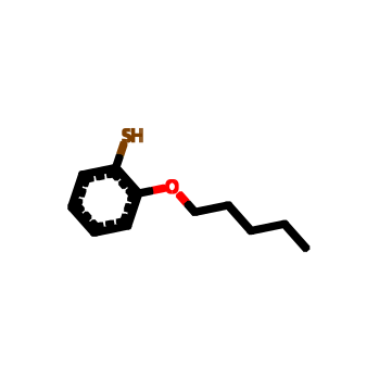 CCCCCOc1ccccc1S